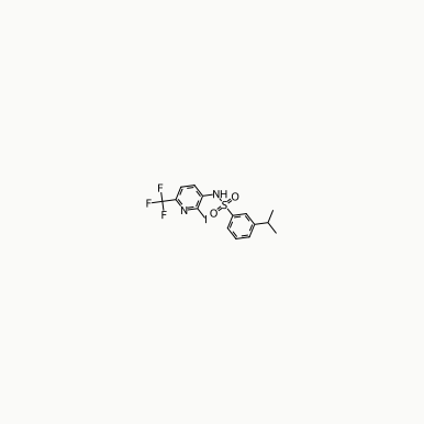 CC(C)c1cccc(S(=O)(=O)Nc2ccc(C(F)(F)F)nc2I)c1